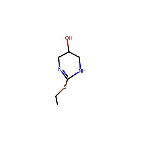 CCSC1=NCC(O)CN1